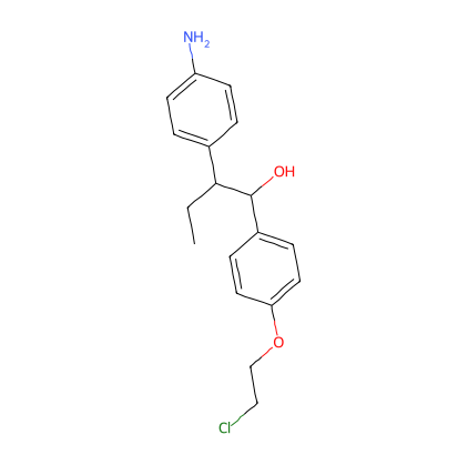 CCC(c1ccc(N)cc1)C(O)c1ccc(OCCCl)cc1